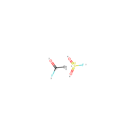 CCC(=O)F.O=[SH](=O)F